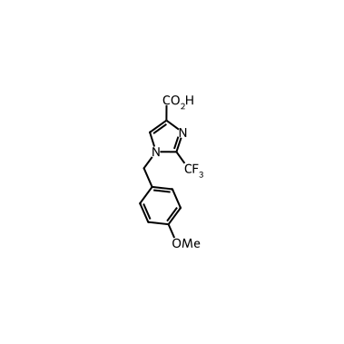 COc1ccc(Cn2cc(C(=O)O)nc2C(F)(F)F)cc1